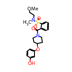 COCCN(C)S(=O)(=O)c1ccccc1C(=O)N1CCC(Oc2cccc(O)c2)CC1